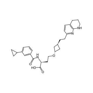 O=C(N[C@@H](CCO[C@H]1C[C@H](CCc2ccc3c(n2)NCCC3)C1)C(=O)O)c1cccc(C2CC2)c1